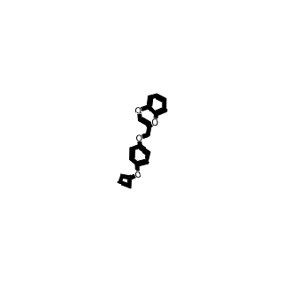 C1=C(COc2ccc(OC3CCC3)cc2)Oc2ccccc2O1